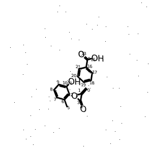 C=C1OC1=O.Cc1cccc(O)c1.O=C(O)c1ccccc1